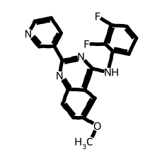 COc1ccc2nc(-c3cccnc3)nc(Nc3cccc(F)c3F)c2c1